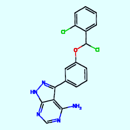 Nc1ncnc2[nH]nc(-c3cccc(OC(Cl)c4ccccc4Cl)c3)c12